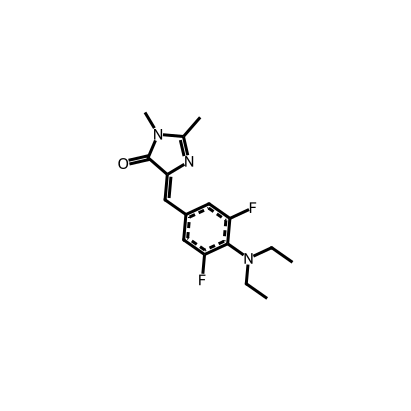 CCN(CC)c1c(F)cc(/C=C2\N=C(C)N(C)C2=O)cc1F